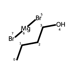 CCCCO.[Br][Mg][Br]